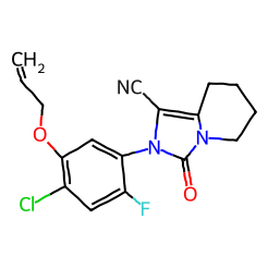 C=CCOc1cc(-n2c(C#N)c3n(c2=O)CCCC3)c(F)cc1Cl